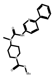 CN(C(=O)Nc1ccc(-c2ccccc2)nc1)C1CCN(C(=O)OC(C)(C)C)CC1